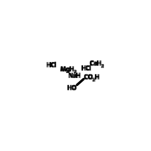 Cl.Cl.O=C(O)O.[CaH2].[MgH2].[NaH]